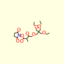 CCOCC(COCC)(COCC)COCC(=O)C(C)C(=O)ON1C(=O)CCC1=O